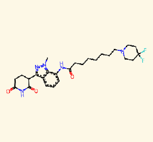 Cn1nc(C2CCC(=O)NC2=O)c2cccc(NC(=O)CCCCCCCN3CCC(F)(F)CC3)c21